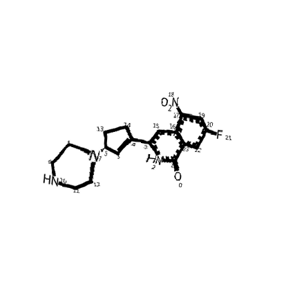 O=c1[nH]c(C2=C[C@H](N3CCNCC3)CC2)cc2c([N+](=O)[O-])cc(F)cc12